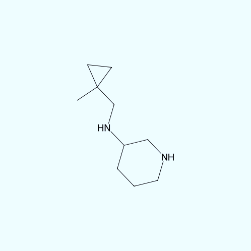 CC1(CNC2CCCNC2)CC1